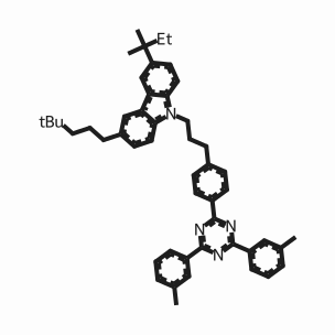 CCC(C)(C)c1ccc2c(c1)c1cc(CCCC(C)(C)C)ccc1n2CCCc1ccc(-c2nc(-c3cccc(C)c3)nc(-c3cccc(C)c3)n2)cc1